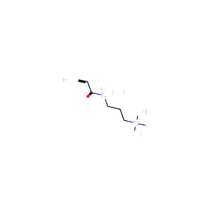 C=CC(=O)NCCC[N+](C)(C)C.Cl